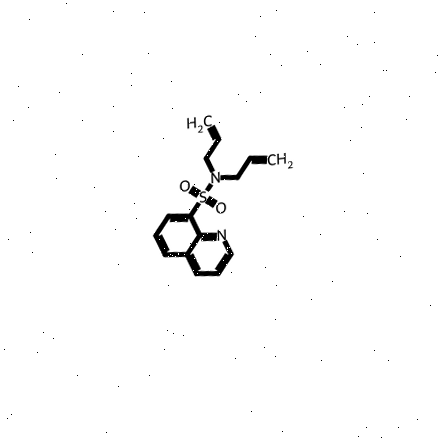 C=CCN(CC=C)S(=O)(=O)c1cccc2cccnc12